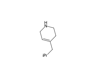 CC(C)CC1=CCNCC1